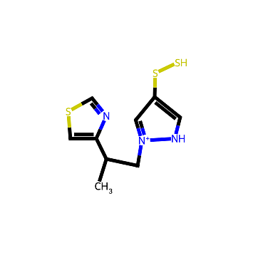 CC(C[n+]1cc(SS)c[nH]1)c1cscn1